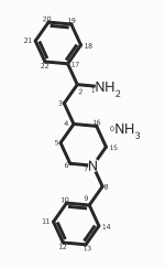 N.NC(CC1CCN(Cc2ccccc2)CC1)c1ccccc1